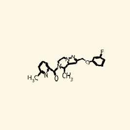 Cc1cccc(C(=O)N2CCn3nc(COc4cccc(F)c4)cc3C2C)n1